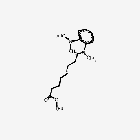 CN(C=O)c1ccccc1N(C)CCCCCCCC(=O)OC(C)(C)C